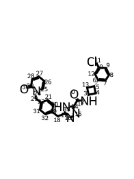 O=C(N[C@H]1C[C@@H](c2cccc(Cl)c2)C1)c1nnc(Cc2ccc(Cn3ccccc3=O)cc2)[nH]1